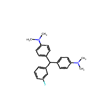 CN(C)c1ccc(C(c2ccc(N(C)C)cc2)c2cccc(F)c2)cc1